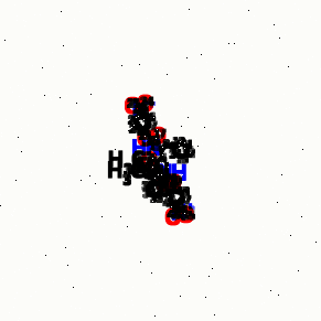 C[Si](C)(C)O[C@@H](C[C@H](Cc1ccccc1)NC(=O)Oc1ccc([N+](=O)[O-])cc1)[C@H](Cc1ccccc1)NC(=O)Oc1ccc([N+](=O)[O-])cc1